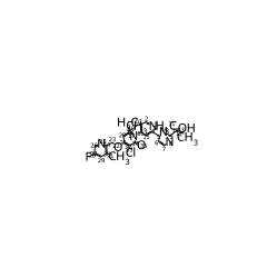 Cc1cnc(-c2ccnc(C(C)(C)O)n2)cc1-n1c(C)cc(OCc2ncc(F)cc2C)c(Cl)c1=O